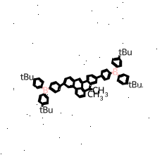 CC(C)(C)c1ccc(B(c2ccc(-c3ccc4c(c3)C(C)(C)c3cccc5c3c-4cc3ccc(-c4ccc(B(c6ccc(C(C)(C)C)cc6)c6ccc(C(C)(C)C)cc6)cc4)cc35)cc2)c2ccc(C(C)(C)C)cc2)cc1